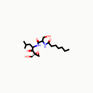 CCCCCCC(=O)NC(CO)C(=O)NC(CC(C)C)C(=O)[C@@]1(CO)CO1